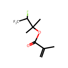 C=C(C)C(=O)OC(C)(C)C(F)C(F)(F)F